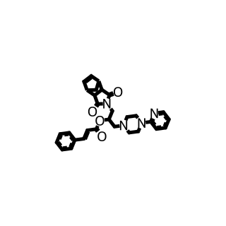 O=C(C=Cc1ccccc1)OC(CN1CCN(c2ccccn2)CC1)CN1C(=O)C2C3C=CC(C3)C2C1=O